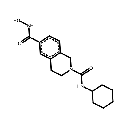 O=C(NO)c1ccc2c(c1)CCN(C(=O)NC1CCCCC1)C2